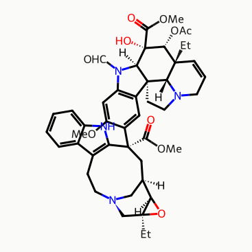 CC[C@]12C[N@@]3CCc4c([nH]c5ccccc45)[C@@](C(=O)OC)(c4cc5c(cc4OC)N(C=O)[C@H]4[C@@](O)(C(=O)OC)[C@H](OC(C)=O)[C@]6(CC)C=CCN7CC[C@]54[C@@H]76)C[C@H](C3)[C@H]1O2